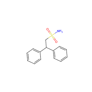 NS(=O)(=O)CC(c1ccccc1)c1ccccc1